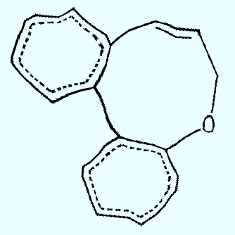 C1=Cc2ccccc2-c2ccccc2OC1